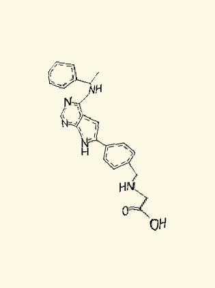 CC(Nc1ncnc2[nH]c(-c3ccc(CNCC(=O)O)cc3)cc12)c1ccccc1